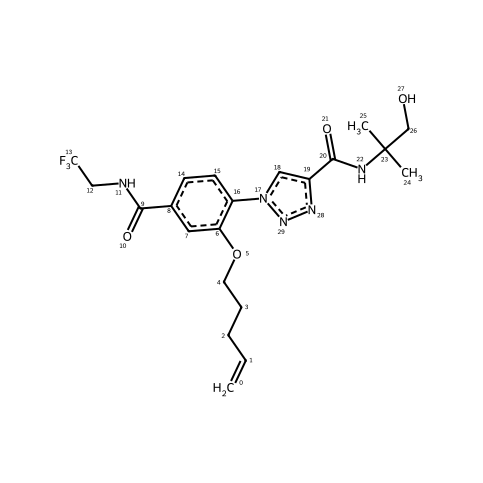 C=CCCCOc1cc(C(=O)NCC(F)(F)F)ccc1-n1cc(C(=O)NC(C)(C)CO)nn1